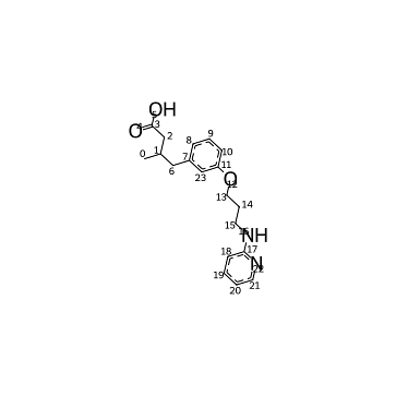 CC(CC(=O)O)Cc1cccc(OCCCNc2ccccn2)c1